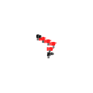 [Ce].[OH-].[OH-].[OH-].[OH-].[Zr+4]